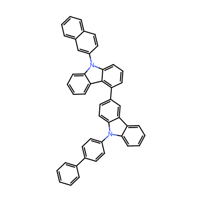 c1ccc(-c2ccc(-n3c4ccccc4c4cc(-c5cccc6c5c5ccccc5n6-c5ccc6ccccc6c5)ccc43)cc2)cc1